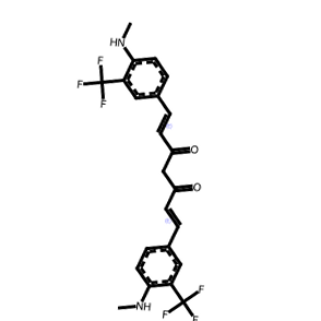 CNc1ccc(/C=C/C(=O)CC(=O)/C=C/c2ccc(NC)c(C(F)(F)F)c2)cc1C(F)(F)F